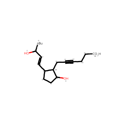 CCCCC(O)C=CC1CCC(O)C1CC#CCCC(=O)O